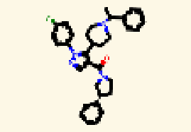 CC(c1ccccc1)N1CCC(c2c(C(=O)N3CC[C@H](c4ccccc4)C3)cnn2-c2ccc(Cl)cc2)CC1